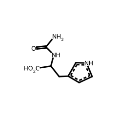 NC(=O)NC(Cc1cc[nH]c1)C(=O)O